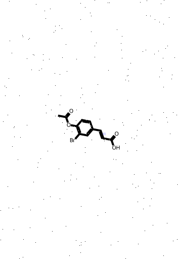 CC(=O)Oc1ccc(/C=C/C(=O)O)cc1Br